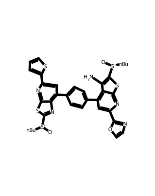 CCCC[S+]([O-])c1nc2c(-c3ccc(-c4cc(-c5ncco5)nc5sc([S+]([O-])CCCC)c(N)c45)cc3)cc(-c3cccs3)nc2s1